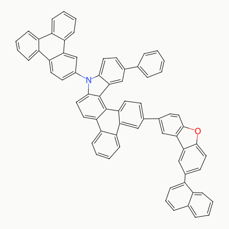 c1ccc(-c2ccc3c(c2)c2c4c(ccc2n3-c2ccc3c5ccccc5c5ccccc5c3c2)c2ccccc2c2cc(-c3ccc5oc6ccc(-c7cccc8ccccc78)cc6c5c3)ccc24)cc1